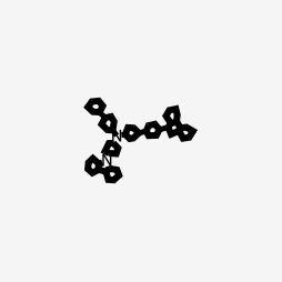 c1ccc(-c2ccc(N(c3ccc(-c4ccc(-c5cc6ccccc6c6ccccc56)cc4)cc3)c3ccc(-n4c5ccccc5c5ccccc54)cc3)cc2)cc1